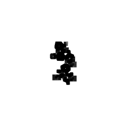 CC1CN(C(=N)N(C)c2ccc(Nc3ncc4c(n3)-c3ccc(Cl)cc3C(c3c(F)cccc3F)=NC4)cc2)CC(C)N1